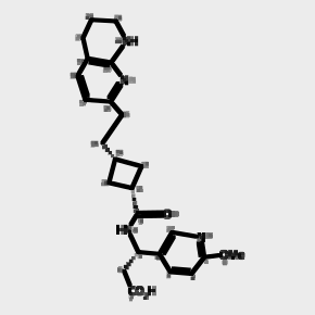 COc1ccc([C@H](CC(=O)O)NC(=O)[C@H]2C[C@@H](CCc3ccc4c(n3)NCCC4)C2)cn1